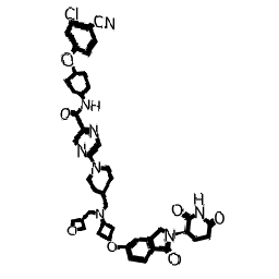 N#Cc1ccc(OC2CCC(NC(=O)c3cnc(N4CCC(CN(CC5COC5)C5CC(Oc6ccc7c(c6)CN([C@@H]6CCC(=O)NC6=O)C7=O)C5)CC4)cn3)CC2)cc1Cl